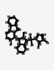 Cc1ccc2c(oc3ccccc32)c1N1c2ccccc2N(C(C)(C)c2cnc(C)n2C)[C@@H]1C